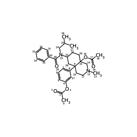 CC(=O)Oc1cccc(C23CCN(C)CC2(OC(C)=O)CCC(N(CC(C)C)C(=O)c2ccccc2)C3)c1